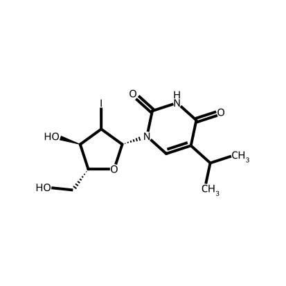 CC(C)c1cn([C@@H]2O[C@H](CO)[C@@H](O)C2I)c(=O)[nH]c1=O